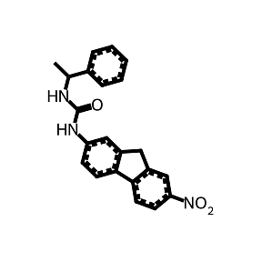 CC(NC(=O)Nc1ccc2c(c1)Cc1cc([N+](=O)[O-])ccc1-2)c1ccccc1